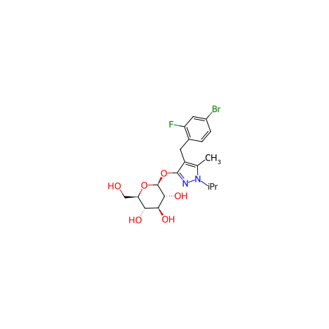 Cc1c(Cc2ccc(Br)cc2F)c(O[C@@H]2O[C@H](CO)[C@@H](O)[C@H](O)[C@H]2O)nn1C(C)C